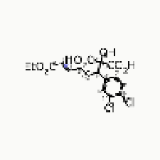 CCOC(=O)/C=C/CSC(c1ccc(Cl)c(Cl)c1)C(O)(C(=O)O)C(=O)O